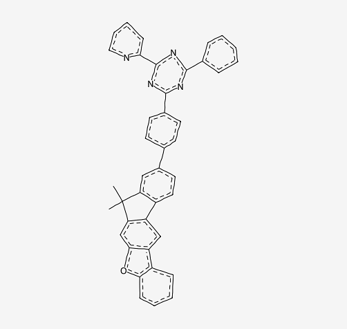 CC1(C)c2cc(-c3ccc(-c4nc(-c5ccccc5)nc(-c5ccccn5)n4)cc3)ccc2-c2cc3c(cc21)oc1ccccc13